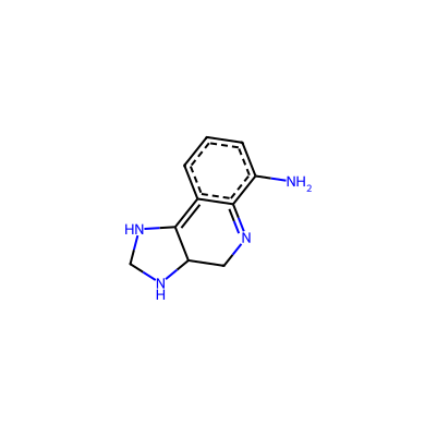 Nc1cccc2c1=NCC1NCNC=21